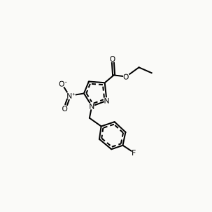 CCOC(=O)c1cc([N+](=O)[O-])n(Cc2ccc(F)cc2)n1